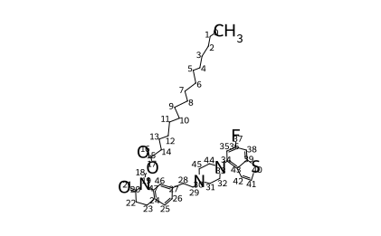 CCCCCCCCCCCCCCCC(=O)OCN1C(=O)CCc2ccc(CCN3CCN(c4cc(F)cc5sccc45)CC3)cc21